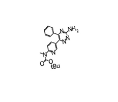 CN(C(=O)OC(C)(C)C)c1ccc(-c2nnc(N)nc2-c2ccccc2)cn1